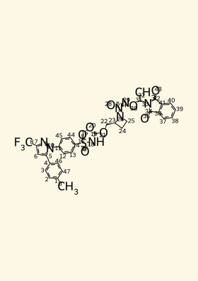 Cc1ccc(-c2cc(C(F)(F)F)nn2-c2ccc(S(=O)(=O)NC(=O)OC[C@@H]3CCN3/[N+]([O-])=N\OC(C)N3C(=O)c4ccccc4C3=O)cc2)cc1